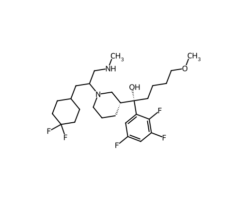 CNCC(CC1CCC(F)(F)CC1)N1CCC[C@@H]([C@@](O)(CCCCOC)c2cc(F)cc(F)c2F)C1